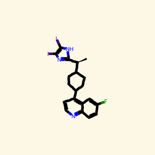 C[C@H](c1nc(I)c(I)[nH]1)C1CCC(c2ccnc3ccc(F)cc23)CC1